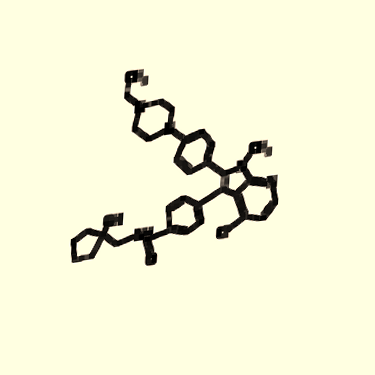 CCN1CCN(c2ccc(-c3c(-c4ccc(C(=O)NCC5(O)CCCC5)cc4)c4c(Cl)ccnc4n3C)cc2)CC1